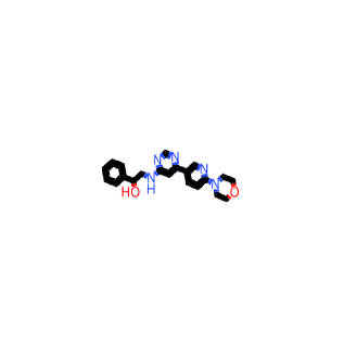 OC(CNc1cc(-c2ccc(N3CCOCC3)nc2)ncn1)c1ccccc1